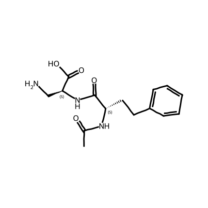 CC(=O)N[C@@H](CCc1ccccc1)C(=O)N[C@@H](CN)C(=O)O